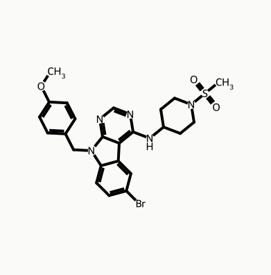 COc1ccc(Cn2c3ccc(Br)cc3c3c(NC4CCN(S(C)(=O)=O)CC4)ncnc32)cc1